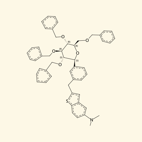 CN(C)c1ccc2sc(Cc3cccc([C@@H]4O[C@H](COCc5ccccc5)[C@@H](OCc5ccccc5)[C@H](OCc5ccccc5)[C@H]4OCc4ccccc4)c3)cc2c1